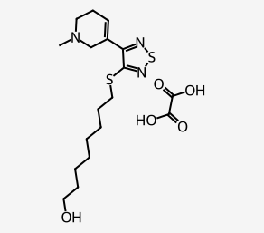 CN1CCC=C(c2nsnc2SCCCCCCCCO)C1.O=C(O)C(=O)O